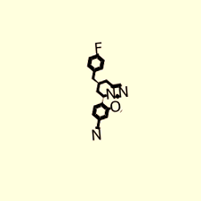 COc1cc(C#N)ccc1[C@@H]1C[C@@H](Cc2ccc(F)cc2)Cc2cncn21